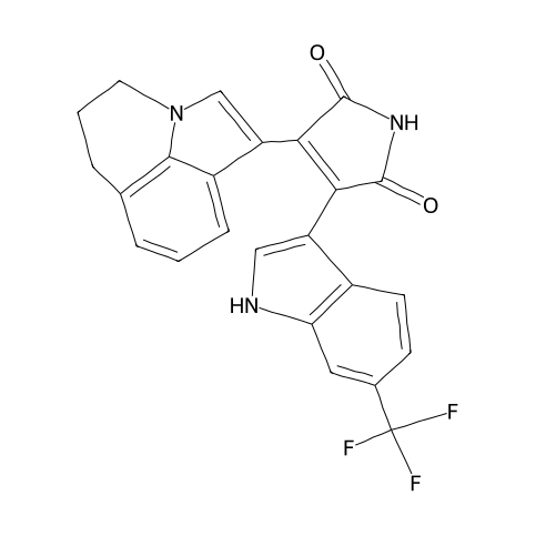 O=C1NC(=O)C(c2cn3c4c(cccc24)CCC3)=C1c1c[nH]c2cc(C(F)(F)F)ccc12